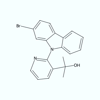 CC(C)(O)c1cccnc1-n1c2ccccc2c2ccc(Br)cc21